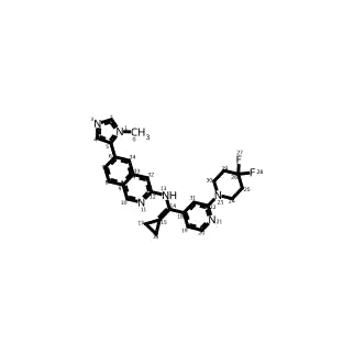 Cn1cncc1-c1ccc2cnc(NC(=C3CC3)c3ccnc(N4CCC(F)(F)CC4)c3)cc2c1